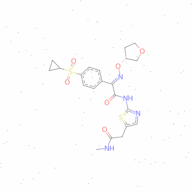 CNC(=O)Cc1cnc(NC(=O)/C(=N/O[C@@H]2CCOC2)c2ccc(S(=O)(=O)C3CC3)cc2)s1